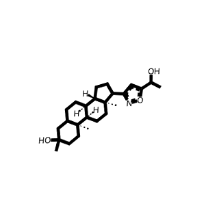 CC(O)c1cc(C2CC[C@H]3[C@@H]4CCC5CC(C)(O)CC[C@]5(C)[C@@H]4CC[C@]23C)no1